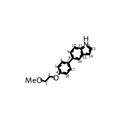 COCCOc1ccc(-c2ccc3[nH]ccc3c2)cc1